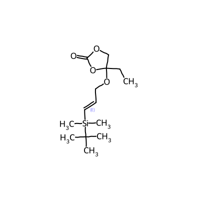 CCC1(OC/C=C/[Si](C)(C)C(C)(C)C)COC(=O)O1